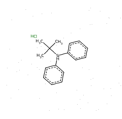 CC(C)(C)[SiH](c1ccccc1)c1ccccc1.Cl